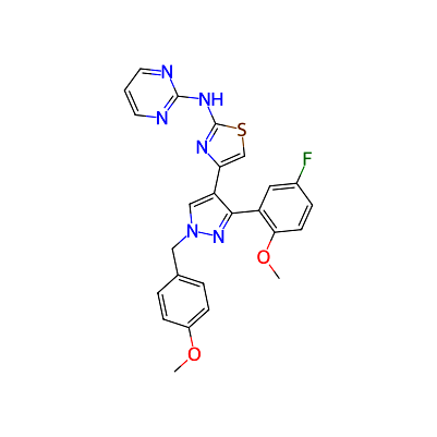 COc1ccc(Cn2cc(-c3csc(Nc4ncccn4)n3)c(-c3cc(F)ccc3OC)n2)cc1